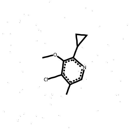 COc1c(C2CC2)ncc(C)c1Cl